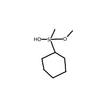 CO[Si](C)(O)C1CCCCC1